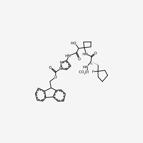 CCOC(=O)N[C@@H](CC1(F)CCCC1)C(=O)NC1(C(O)C(=O)Nc2ccn(C(=O)OCC3c4ccccc4-c4ccccc43)n2)CCC1